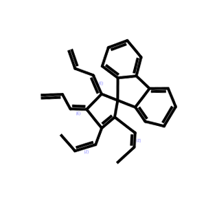 C=C/C=C1C(/C=C\C)=C(/C=C\C)C2(C/1=C/C=C)c1ccccc1-c1ccccc12